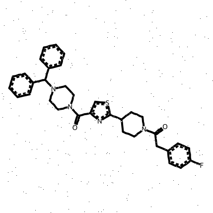 O=C(Cc1ccc(F)cc1)N1CCC(c2nc(C(=O)N3CCN(C(c4ccccc4)c4ccccc4)CC3)cs2)CC1